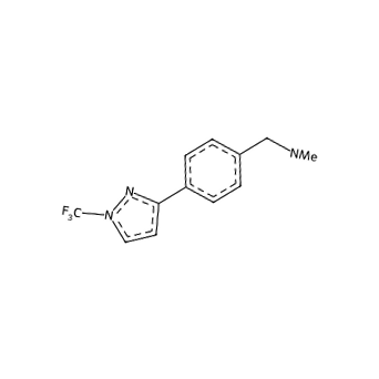 CNCc1ccc(-c2ccn(C(F)(F)F)n2)cc1